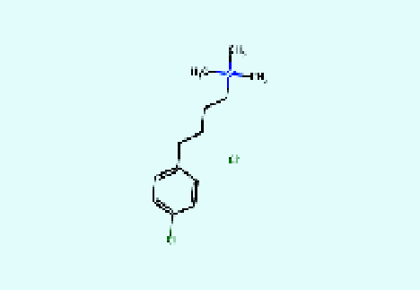 C[N+](C)(C)CCCCc1ccc(Cl)cc1.[Cl-]